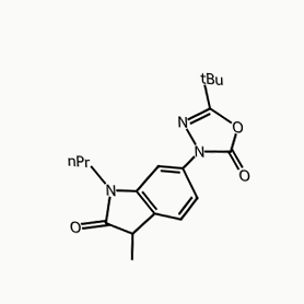 CCCN1C(=O)C(C)c2ccc(-n3nc(C(C)(C)C)oc3=O)cc21